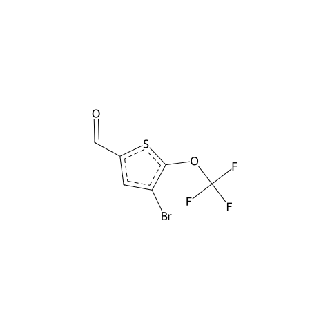 O=Cc1cc(Br)c(OC(F)(F)F)s1